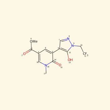 COC(=O)c1cc(-c2cnn(CC(F)(F)F)c2O)c(=O)n(C)c1